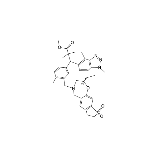 CC[C@@H]1CN(Cc2cc(C(c3ccc4c(nnn4C)c3C)C(C)(C)C(=O)OC)ccc2C)Cc2cc3c(cc2O1)S(=O)(=O)CC3